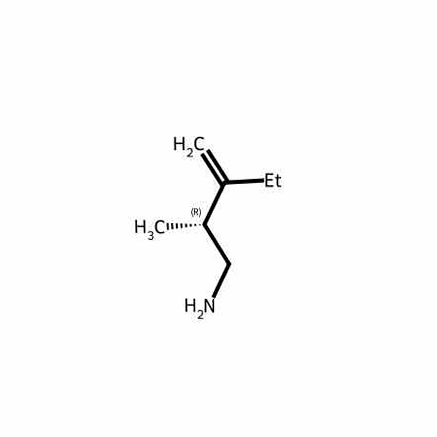 C=C(CC)[C@@H](C)CN